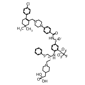 CC1(C)CCC(c2ccc(Cl)cc2)=C(CN2CCN(c3ccc(C(=O)N[S+]([O-])c4ccc(N[C@H](CCN5CCC(CP(=O)(O)O)CC5)CSc5ccccc5)c(S(=O)(=O)C(F)(F)F)c4)cc3)CC2)C1